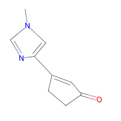 Cn1cnc(C2=CC(=O)CC2)c1